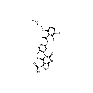 COCCOc1ccc(F)c(F)c1N(C)Cc1ccc(F)c(-n2c(=O)[nH]c3csc(C(=O)O)c3c2=O)c1